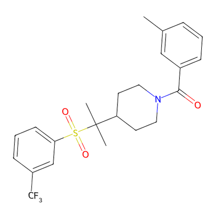 Cc1cccc(C(=O)N2CCC(C(C)(C)S(=O)(=O)c3cccc(C(F)(F)F)c3)CC2)c1